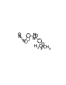 CC(C)(F)Oc1ccc(-c2nc(-c3cccc4c3CC3CCN(CCN=O)C43)no2)cc1